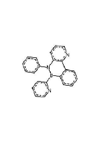 c1ccc(N2B(c3ccccn3)c3ccccc3-c3ncccc32)cc1